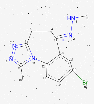 CN/N=C1\CCc2nnc(C)n2-c2ccc(Br)cc21